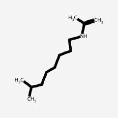 C=C(C)NCCCCCCC(C)C